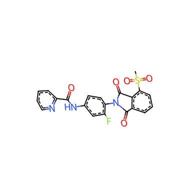 CS(=O)(=O)c1cccc2c1C(=O)N(c1ccc(NC(=O)c3ccccn3)cc1F)C2=O